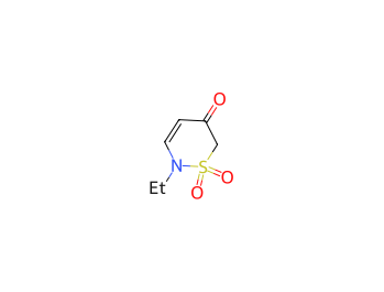 CCN1C=CC(=O)CS1(=O)=O